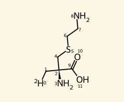 [2H]C[C@](N)(CSCCN)C(=O)O